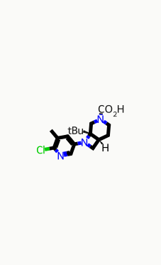 Cc1cc(N2C[C@@H]3CCN(C(=O)O)C[C@]32C(C)(C)C)cnc1Cl